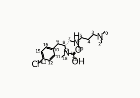 CN(C)CCCNC[C@@H](Cc1ccc(Cl)cc1)N(C)C(=O)O